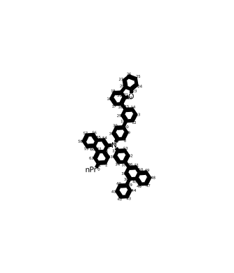 CCCc1ccc2c(N(c3ccc(-c4cccc(-c5cccc6c5oc5ccccc56)c4)cc3)c3ccc(-c4cc(-c5ccccc5)c5ccccc5c4)cc3)cc3ccccc3c2c1